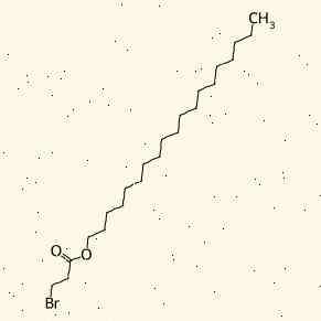 CCCCCCCCCCCCCCCCCCCOC(=O)CCBr